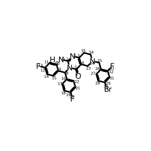 Nc1nc2c(c(=O)n1C(c1ccc(F)cc1)c1ccc(F)cc1)CN(Cc1ccc(Br)cc1F)CC2